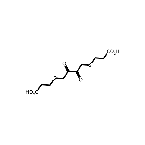 O=C(O)CCSCC(=O)C(=O)CSCCC(=O)O